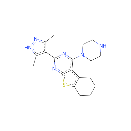 Cc1n[nH]c(C)c1-c1nc(N2CCNCC2)c2c3c(sc2n1)CCCC3